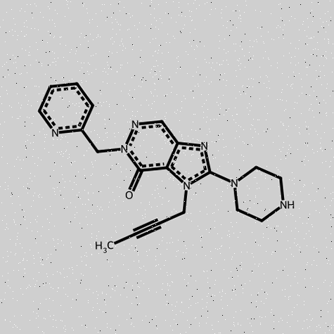 CC#CCn1c(N2CCNCC2)nc2cnn(Cc3ccccn3)c(=O)c21